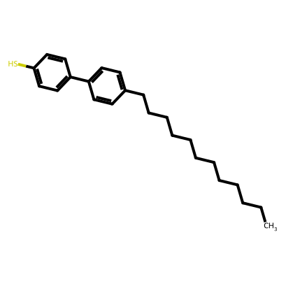 CCCCCCCCCCCCc1ccc(-c2ccc(S)cc2)cc1